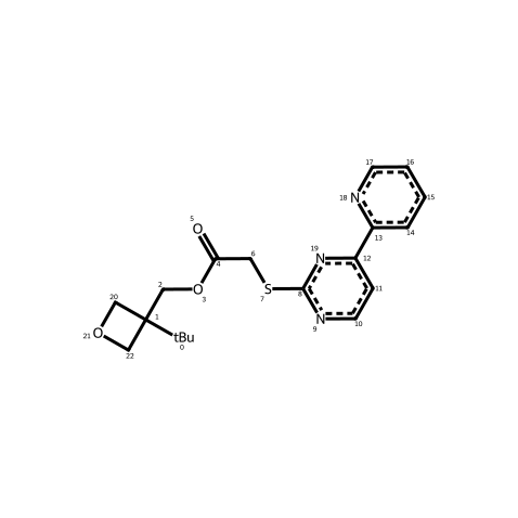 CC(C)(C)C1(COC(=O)CSc2nccc(-c3ccccn3)n2)COC1